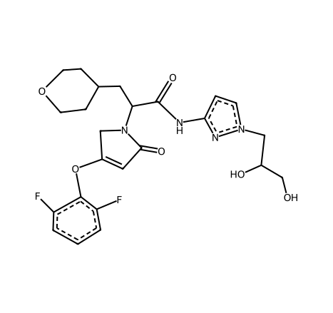 O=C(Nc1ccn(CC(O)CO)n1)C(CC1CCOCC1)N1CC(Oc2c(F)cccc2F)=CC1=O